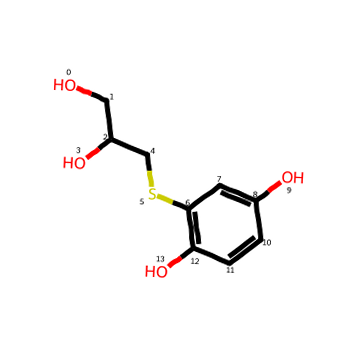 OCC(O)CSc1cc(O)ccc1O